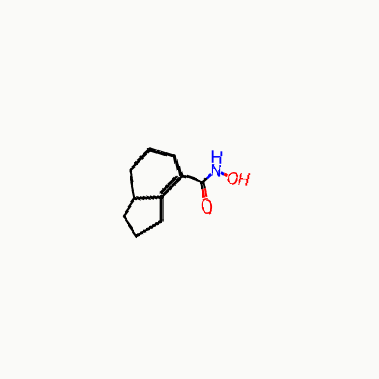 O=C(NO)C1=C2CCCC2CCC1